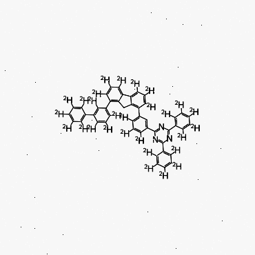 [2H]c1c(-c2nc(-c3c([2H])c([2H])c([2H])c([2H])c3[2H])nc(-c3c([2H])c([2H])c([2H])c([2H])c3[2H])n2)cc(-c2c([2H])c([2H])c([2H])c3c2Cc2c(-c4c([2H])c([2H])c([2H])c(-c5c([2H])c([2H])c([2H])c([2H])c5[2H])c4[2H])c([2H])c([2H])c([2H])c2-3)c([2H])c1[2H]